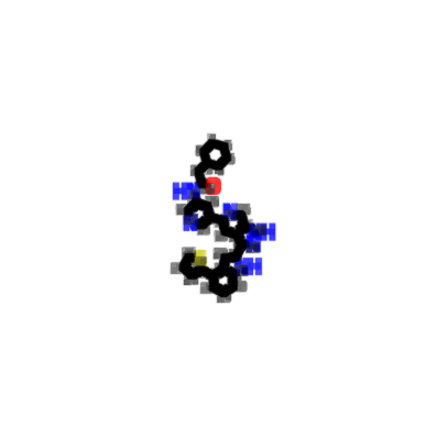 O=C(CC1CCCCC1)Nc1cncc(-c2cc3c(-c4cc5c(-c6cccs6)cccc5[nH]4)n[nH]c3cn2)c1